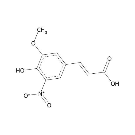 COc1cc(C=CC(=O)O)cc([N+](=O)[O-])c1O